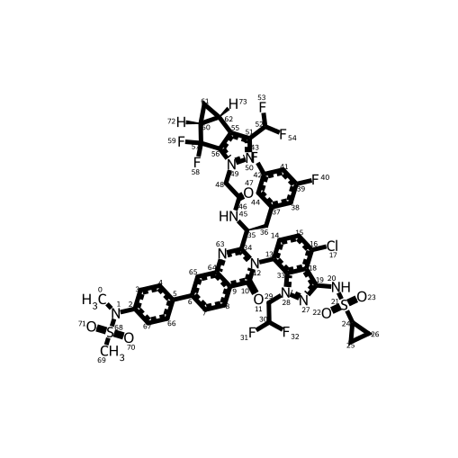 CN(c1ccc(-c2ccc3c(=O)n(-c4ccc(Cl)c5c(NS(=O)(=O)C6CC6)nn(CC(F)F)c45)c([C@H](Cc4cc(F)cc(F)c4)NC(=O)Cn4nc(C(F)F)c5c4C(F)(F)[C@@H]4C[C@H]54)nc3c2)cc1)S(C)(=O)=O